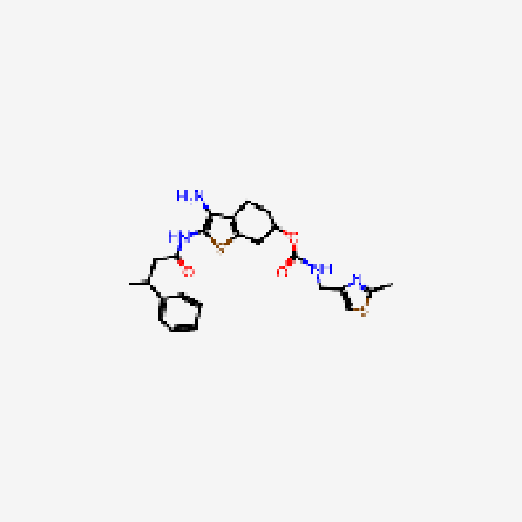 Cc1nc(CNC(=O)OC2CCc3c(sc(NC(=O)CC(C)c4ccccc4)c3N)C2)cs1